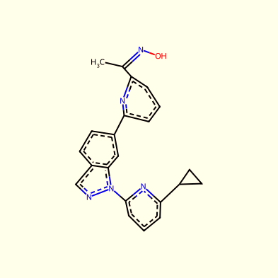 C/C(=N/O)c1cccc(-c2ccc3cnn(-c4cccc(C5CC5)n4)c3c2)n1